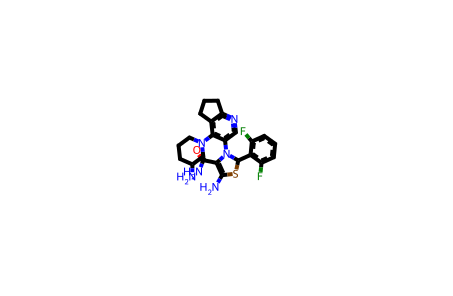 NC(=O)C1=C(N)SC(c2c(F)cccc2F)N1c1cnc2c(c1N1CCCC(N)C1)CCC2